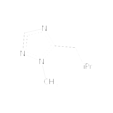 CC(C)Cc1ncnn1C